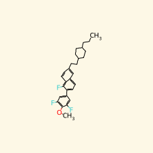 CCCC1CCC(CCc2ccc3c(F)c(-c4cc(F)c(OC)c(F)c4)ccc3c2)CC1